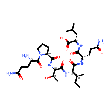 CC[C@H](C)[C@H](NC(=O)[C@@H](NC(=O)[C@@H]1CCCN1C(=O)[C@@H](N)CCC(N)=O)[C@@H](C)O)C(=O)N[C@@H](CCC(N)=O)C(=O)N[C@@H](CC(C)C)C(=O)O